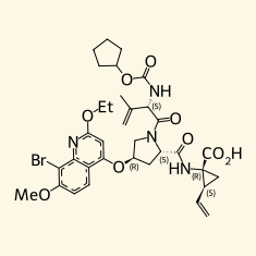 C=C[C@@H]1C[C@]1(NC(=O)[C@@H]1C[C@@H](Oc2cc(OCC)nc3c(Br)c(OC)ccc23)CN1C(=O)[C@@H](NC(=O)OC1CCCC1)C(=C)C)C(=O)O